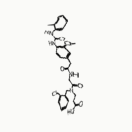 COc1cc(CC(=O)NCC(=O)N(CCC(=O)O)Cc2ccccc2Cl)ccc1NC(=O)Nc1ccccc1C